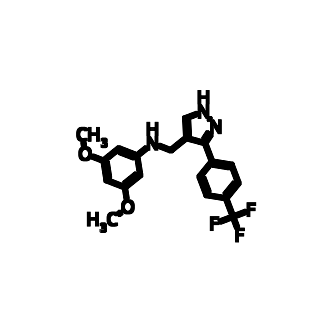 COc1cc(NCc2c[nH]nc2-c2ccc(C(F)(F)F)cc2)cc(OC)c1